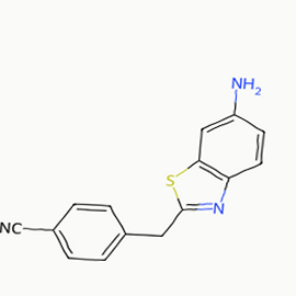 N#Cc1ccc(Cc2nc3ccc(N)cc3s2)cc1